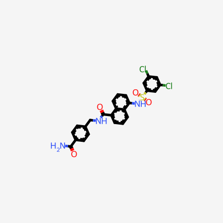 NC(=O)c1ccc(CNC(=O)c2cccc3c(NS(=O)(=O)c4cc(Cl)cc(Cl)c4)cccc23)cc1